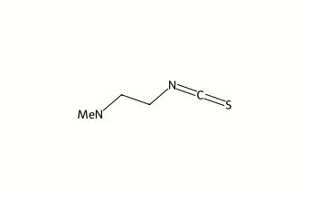 CNCCN=C=S